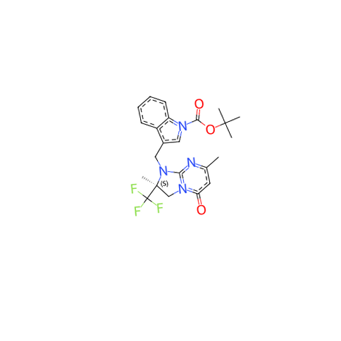 Cc1cc(=O)n2c(n1)N(Cc1cn(C(=O)OC(C)(C)C)c3ccccc13)[C@](C)(C(F)(F)F)C2